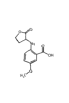 COc1ccc(NC2CCOC2=O)c(C(=O)O)c1